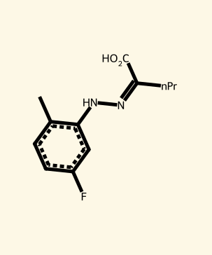 CCCC(=NNc1cc(F)ccc1C)C(=O)O